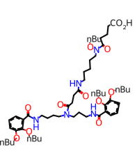 CCCCOc1cccc(C(=O)NCCCCN(CCCNC(=O)c2cccc(OCCCC)c2OCCCC)C(=O)CCC(=O)NCCCCCN(OCCCC)C(=O)CCCC(=O)O)c1OCCCC